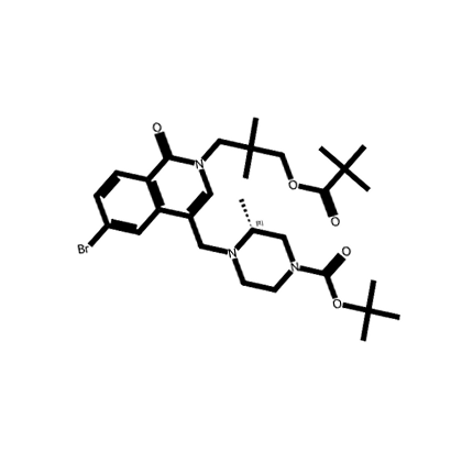 C[C@@H]1CN(C(=O)OC(C)(C)C)CCN1Cc1cn(CC(C)(C)COC(=O)C(C)(C)C)c(=O)c2ccc(Br)cc12